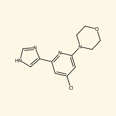 Clc1cc(-c2c[nH]cn2)nc(N2CCOCC2)c1